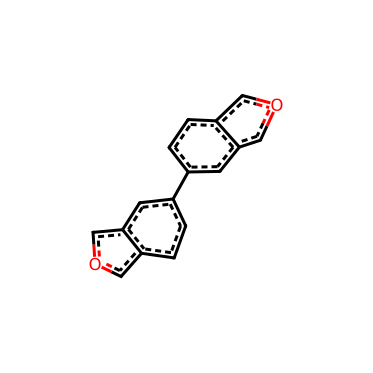 c1cc2cocc2cc1-c1ccc2cocc2c1